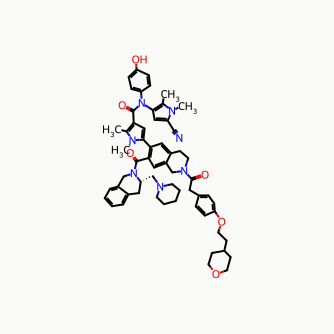 Cc1c(N(C(=O)c2cc(-c3cc4c(cc3C(=O)N3Cc5ccccc5C[C@H]3CN3CCCCC3)CN(C(=O)Cc3ccc(OCCC5CCOCC5)cc3)CC4)n(C)c2C)c2ccc(O)cc2)cc(C#N)n1C